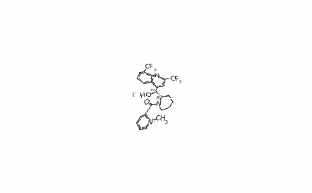 C[n+]1ccccc1C(=O)N1CCCC[C@@H]1[C@@H](O)c1cc(C(F)(F)F)nc2c(C(F)(F)F)cccc12.[I-]